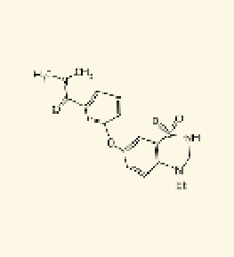 CCN1CNS(=O)(=O)c2cc(Oc3cccc(C(=O)N(C)C)c3)ccc21